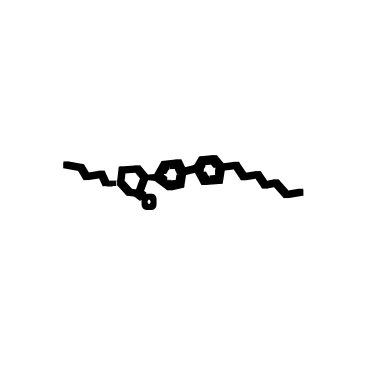 CCCCCCCc1ccc(-c2ccc([C@@H]3CC[C@@H](CCCCC)CC3=O)cc2)cc1